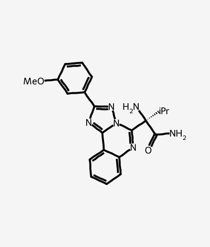 COc1cccc(-c2nc3c4ccccc4nc([C@@](N)(C(N)=O)C(C)C)n3n2)c1